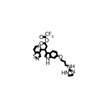 O=C(CC(c1c[nH]c2cc(OCCCNc3ncc[nH]3)ccc12)c1nccc2sncc12)OC(=O)C(F)(F)F